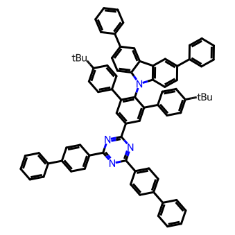 CC(C)(C)c1ccc(-c2cc(-c3nc(-c4ccc(-c5ccccc5)cc4)nc(-c4ccc(-c5ccccc5)cc4)n3)cc(-c3ccc(C(C)(C)C)cc3)c2-n2c3ccc(-c4ccccc4)cc3c3cc(-c4ccccc4)ccc32)cc1